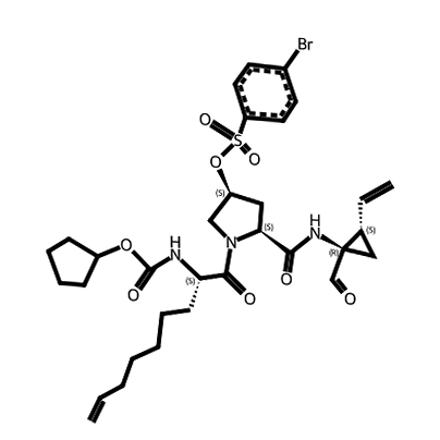 C=CCCCCC[C@H](NC(=O)OC1CCCC1)C(=O)N1C[C@@H](OS(=O)(=O)c2ccc(Br)cc2)C[C@H]1C(=O)N[C@]1(C=O)C[C@H]1C=C